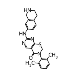 Cc1cccc(C)c1N1CSc2nc(Nc3ccc4c(c3)CNCC4)ncc2C1=O